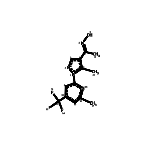 C/C(=N\O)c1cnn(-c2cc(C(F)(F)F)cc(C)n2)c1C